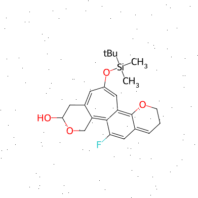 CC(C)(C)[Si](C)(C)OC1=Cc2c3c(cc(F)c2=C2COC(O)CC2=C1)=CCCO3